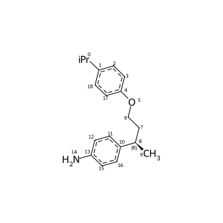 CC(C)c1ccc(OCC[C@@H](C)c2ccc(N)cc2)cc1